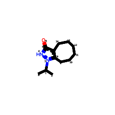 CC(C)n1[nH]c(=O)c2c1CCCCCC2